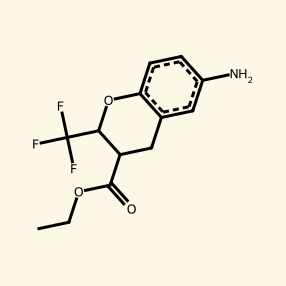 CCOC(=O)C1Cc2cc(N)ccc2OC1C(F)(F)F